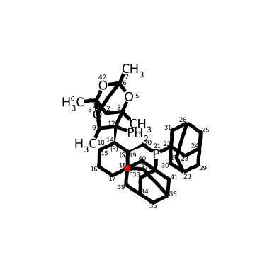 CC12CC3(C)OC(C)(CC(C)(O1)C3(P)[C@@H]1CCCC[C@@H]1CP(C13CC4CC(CC(C4)C1)C3)C13CC4CC(CC(C4)C1)C3)O2